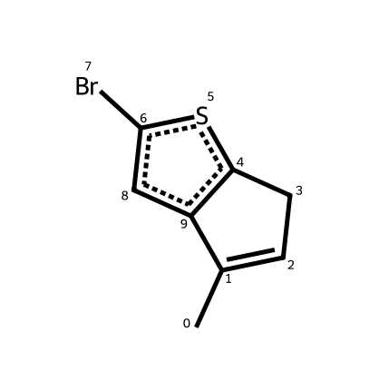 CC1=CCc2sc(Br)cc21